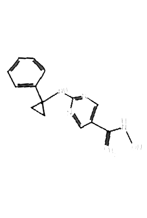 C=C(NO)c1cnc(NC2(c3ccccc3)CC2)nc1